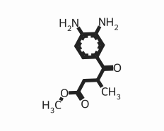 COC(=O)CC(C)C(=O)c1ccc(N)c(N)c1